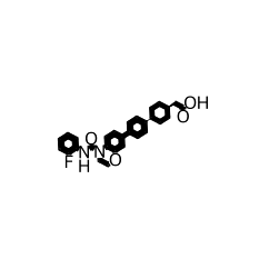 O=C(O)C[C@H]1CC[C@H](c2ccc(-c3ccc4c(c3)OCCN4C(=O)Nc3ccccc3F)cc2)CC1